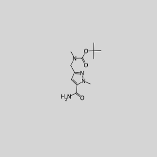 CN(Cc1cc(C(N)=O)n(C)n1)C(=O)OC(C)(C)C